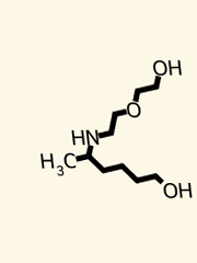 CC(CCCCO)NCCOCCO